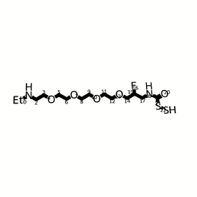 CCNCCOCCOCCOCCOCC(F)CNC(=O)SS